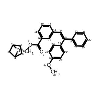 C1CC2CC1O2.COC(=O)c1cccc(C=C(c2ccccc2)c2ccc(OC)cc2)c1